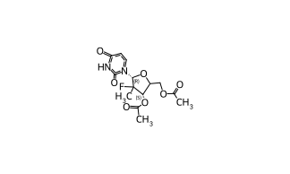 CC(=O)OCC1O[C@@H](n2ccc(=O)[nH]c2=O)C(C)(F)[C@H]1OC(C)=O